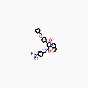 CCN(CC)c1ccc(CNC(=O)c2cc(-c3ccc(OCc4ccccc4)cc3)c(=O)n3ccc4ccsc4c23)cc1